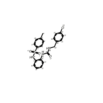 Cc1ccc(S(=O)(=O)Nc2ccccc2NC(=O)NCc2ccc(Cl)cc2)cc1